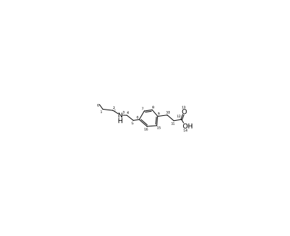 CC[C]NCCc1ccc(CCC(=O)O)cc1